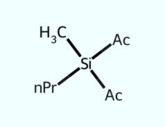 [CH2]CC[Si](C)(C(C)=O)C(C)=O